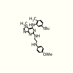 COc1ccc(NCCNc2nc(Nc3cc(C(C)(C)C)ccc3C)c3c(ncn3C)n2)cc1